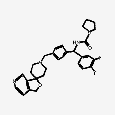 O=C(NC(c1ccc(CN2CCC3(CC2)OCc2ccncc23)cc1)c1ccc(F)c(F)c1)N1CCCC1